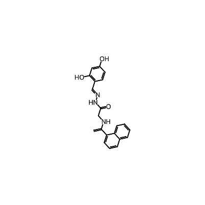 C=C(NCC(=O)N/N=C/c1ccc(O)cc1O)c1cccc2ccccc12